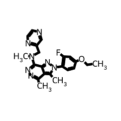 CCOc1ccc(-n2nc3c(N(C)Cc4cnccn4)nnc(C)c3c2C)c(F)c1